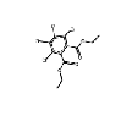 CCOC(=O)c1c(Cl)c(Cl)c(Cl)c(Cl)c1C(=O)OCC